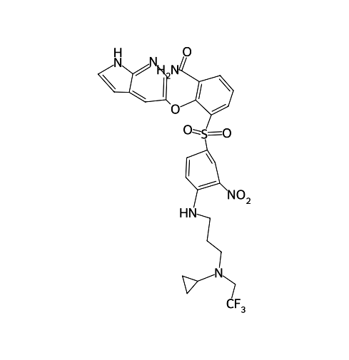 NC(=O)c1cccc(S(=O)(=O)c2ccc(NCCCN(CC(F)(F)F)C3CC3)c([N+](=O)[O-])c2)c1Oc1cnc2[nH]ccc2c1